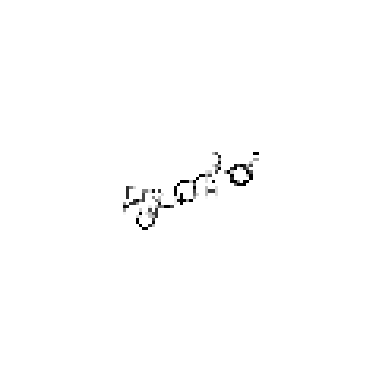 O=C(NCC1CCN(CC(=O)N2CCC[C@@H]2C(F)(F)F)CC1)c1cccc(F)c1